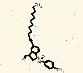 CCCCCCCCCCC#Cc1ccc2c(c1)c(C=O)cn2S(=O)(=O)c1ccc(C)cc1